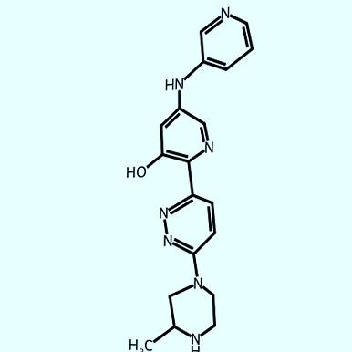 CC1CN(c2ccc(-c3ncc(Nc4cccnc4)cc3O)nn2)CCN1